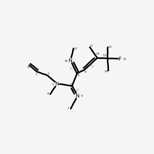 C=CCN(C)C(=N\C)/C(/C=C(\C)C(C)(C)F)=N/C